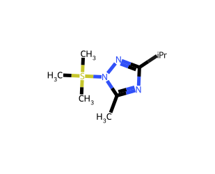 Cc1nc(C(C)C)nn1S(C)(C)C